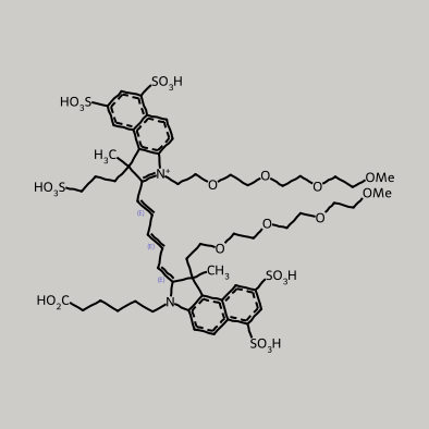 COCCOCCOCCOCC[N+]1=C(/C=C/C=C/C=C2/N(CCCCCC(=O)O)c3ccc4c(S(=O)(=O)O)cc(S(=O)(=O)O)cc4c3C2(C)CCOCCOCCOCCOC)C(C)(CCCS(=O)(=O)O)c2c1ccc1c(S(=O)(=O)O)cc(S(=O)(=O)O)cc21